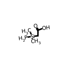 C[Si](C)(P)CC(=O)O